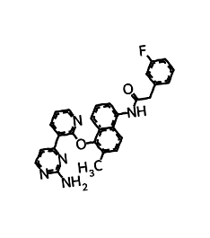 Cc1ccc2c(NC(=O)Cc3cccc(F)c3)cccc2c1Oc1ncccc1-c1ccnc(N)n1